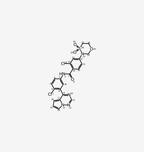 O=C(Nc1ccc(Cl)c(-c2ncnn3cccc23)c1)c1ccc(N2COCCS2(=O)=O)cc1Cl